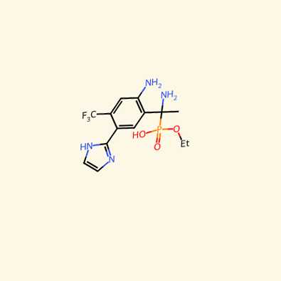 CCOP(=O)(O)C(C)(N)c1cc(-c2ncc[nH]2)c(C(F)(F)F)cc1N